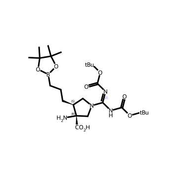 CC(C)(C)OC(=O)/N=C(/NC(=O)OC(C)(C)C)N1C[C@H](CCCB2OC(C)(C)C(C)(C)O2)[C@](N)(C(=O)O)C1